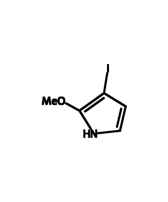 COc1[nH]ccc1I